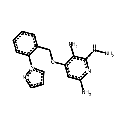 NNc1nc(N)cc(OCc2ccccc2-n2cccn2)c1N